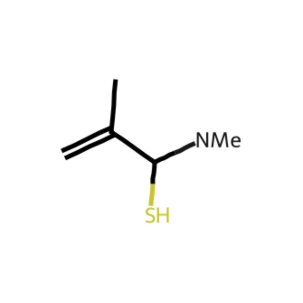 C=C(C)C(S)NC